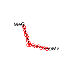 COCCOCCOCCOCCOCCOCCOCCOC(=O)OCCOCCOCCOCCOCCOCCOCCOC